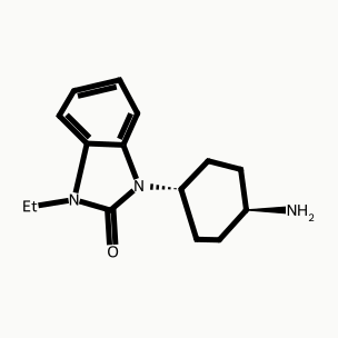 CCn1c(=O)n([C@H]2CC[C@H](N)CC2)c2ccccc21